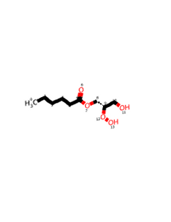 CCCCCC(=O)OC[C@H](CO)OO